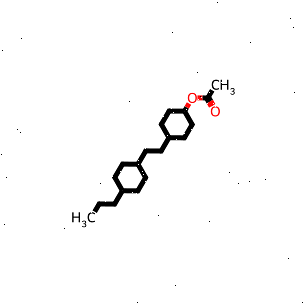 CCCC1CCC(CCC2CCC(OC(C)=O)CC2)CC1